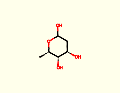 C[C@@H]1OC(O)C[C@H](O)[C@@H]1O